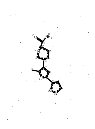 Cc1sc(-c2ccno2)cc1-c1ccc(C(N)=O)nc1